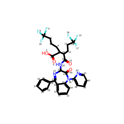 O=C(O)C(CCCC(F)(F)F)C(CCC(F)(F)F)C(=O)NC1N=C(c2ccccc2)c2ccccc2N(c2ccccn2)C1=O